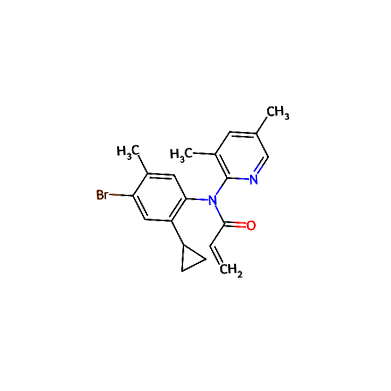 C=CC(=O)N(c1cc(C)c(Br)cc1C1CC1)c1ncc(C)cc1C